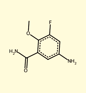 COc1c(F)cc(N)cc1C(N)=O